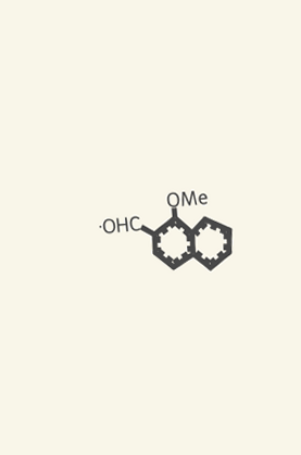 COc1c([C]=O)ccc2ccccc12